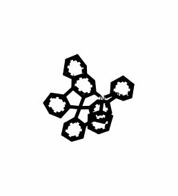 Brc1ccc2c(c1)C1(c3ccccc3-2)c2ccccc2-c2c1c(N(c1ccccc1)c1ccccc1)cc1ccccc21